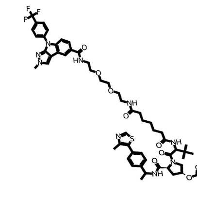 CC(=O)O[C@@H]1C[C@@H](C(=O)NC(C)c2ccc(-c3scnc3C)cc2)N(C(=O)C(NC(=O)CCCCCC(=O)NCCOCCOCCNC(=O)c2ccc3c(c2)c2cn(C)nc2n3-c2ccc(C(F)(F)F)cc2)C(C)(C)C)C1